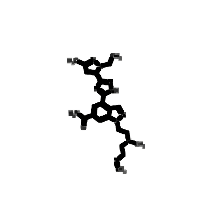 C=NCCN(C)CCn1ncc2c(-c3nc(-c4cc(C)nn4CC)n[nH]3)cc(C(N)=O)cc21